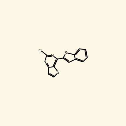 Clc1nc(-c2cc3ccccc3s2)c2sccc2n1